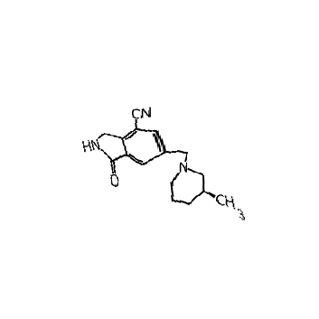 C[C@H]1CCCN(Cc2cc(C#N)c3c(c2)C(=O)NC3)C1